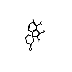 Cc1ccc2c(c1Cl)C(F)=C(F)[C@@]21CCCC(=O)C1